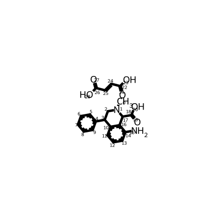 CN1CC(c2ccccc2)c2cccc(N)c2C1C(=O)O.O=C(O)C=CC(=O)O